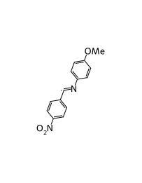 COc1ccc(N=[C]c2ccc([N+](=O)[O-])cc2)cc1